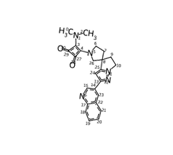 CN(C)c1c(N2CCC3(CCn4nc(-c5cnc6ccccc6c5)cc43)C2)c(=O)c1=O